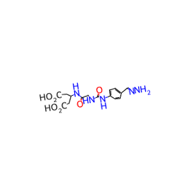 NN=Cc1ccc(NC(=O)NCC(=O)NC(CC(=O)O)CC(=O)O)cc1